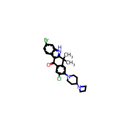 CC1(C)c2cc(N3CCC(N4CCC4)CC3)c(Cl)cc2C(=O)c2c1[nH]c1cc(Br)ccc21